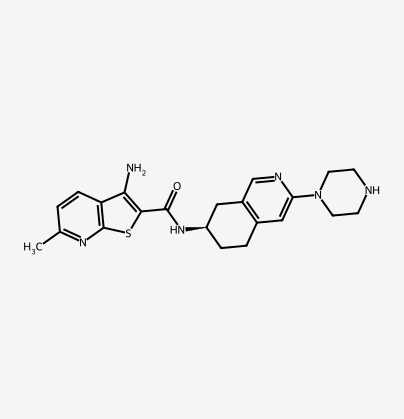 Cc1ccc2c(N)c(C(=O)N[C@@H]3CCc4cc(N5CCNCC5)ncc4C3)sc2n1